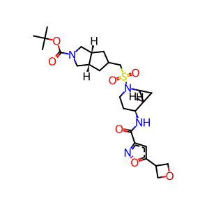 CC(C)(C)OC(=O)N1C[C@H]2CC(CS(=O)(=O)N3CC[C@H](NC(=O)c4cc(C5COC5)on4)[C@H]4C[C@H]43)C[C@H]2C1